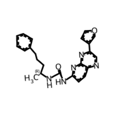 C[C@H](CCCc1ccccc1)NC(=O)Nc1ccc2ncc(-c3ccoc3)nc2n1